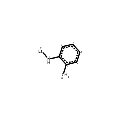 CCNc1c[c]ccc1C